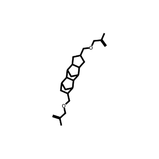 C=C(C)COCC1CC2C(C1)C1CC2C2C3CC(COCC(=C)C)C(C3)C12